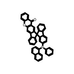 O=c1c2ccccc2oc2cc3c(cc12)C1(c2ccccc2-c2ccc(N(c4ccccc4)c4cccc5ccccc45)cc21)c1ccccc1-3